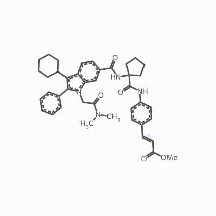 COC(=O)/C=C/c1ccc(NC(=O)C2(NC(=O)c3ccc4c(C5CCCCC5)c(-c5ccccc5)n(CC(=O)N(C)C)c4c3)CCCC2)cc1